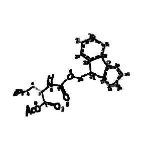 CC(=O)OC(=O)[C@H](CC(C)C)NC(=O)OCC1c2ccccc2-c2ccccc21